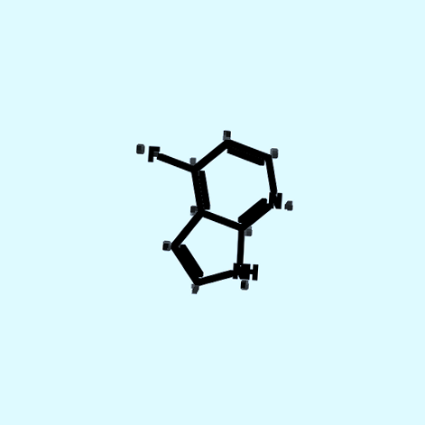 Fc1[c]cnc2[nH]ccc12